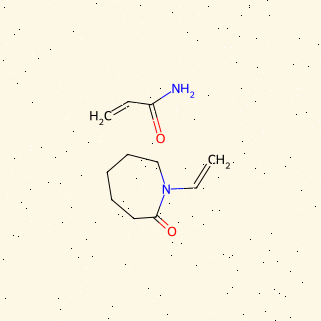 C=CC(N)=O.C=CN1CCCCCC1=O